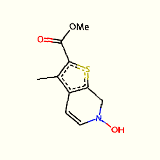 COC(=O)c1sc2c(c1C)C=CN(O)C2